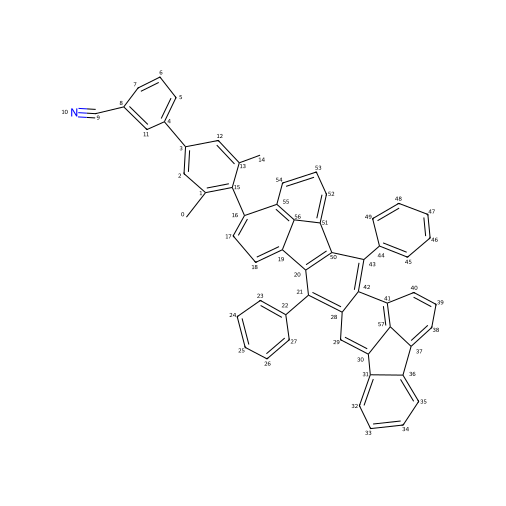 Cc1cc(-c2cccc(C#N)c2)cc(C)c1-c1ccc2c3c(-c4ccccc4)c4cc5c6ccccc6c6cccc(c4c(-c4ccccc4)c3c3cccc1c23)c65